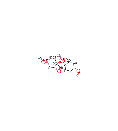 COC1CCC(OC)(C(=O)C2(OC)CCC(OC)CC2)CC1